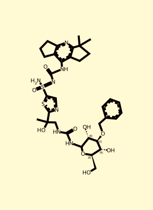 CC1(C)CCc2c1nc1c(c2NC(=O)N=S(N)(=O)c2cnc(C(C)(O)CNC(=O)NC3O[C@H](CO)[C@@H](O)[C@H](OCc4ccccc4)[C@H]3O)s2)CCC1